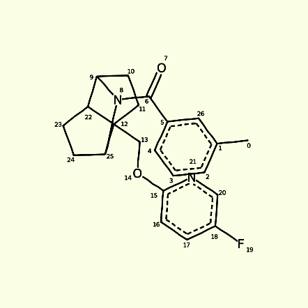 Cc1cccc(C(=O)N2C3CCC4(COc5ccc(F)cn5)C3CCC24)c1